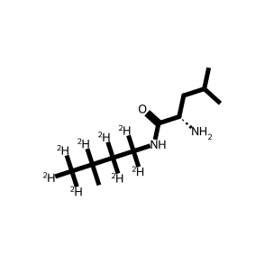 [2H]C([2H])([2H])C([2H])(C)C([2H])([2H])C([2H])([2H])NC(=O)[C@@H](N)CC(C)C